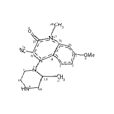 COc1ccc2c(N3CCNCC3C)c(C#N)c(=O)n(C)c2c1